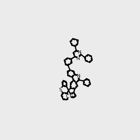 c1ccc(-c2cc(-c3cccc(-c4ccc5c(c4)nc(-c4ccccc4)c4cc6c(cc45)C4(c5ccccc5Sc5ccccc54)c4ccccc4-6)c3)nc(-c3ccccc3)n2)cc1